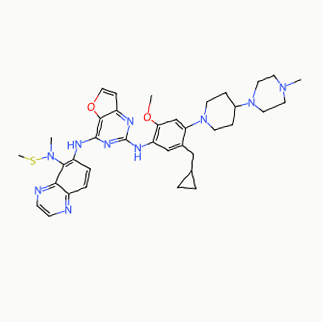 COc1cc(N2CCC(N3CCN(C)CC3)CC2)c(CC2CC2)cc1Nc1nc(Nc2ccc3nccnc3c2N(C)SC)c2occc2n1